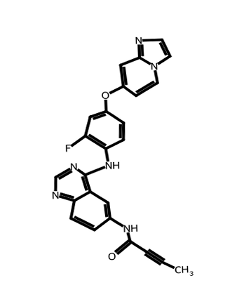 CC#CC(=O)Nc1ccc2ncnc(Nc3ccc(Oc4ccn5ccnc5c4)cc3F)c2c1